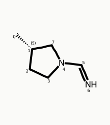 [CH2][C@H]1CCN(C=N)C1